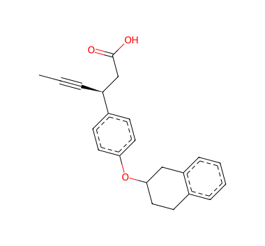 CC#C[C@@H](CC(=O)O)c1ccc(OC2CCc3ccccc3C2)cc1